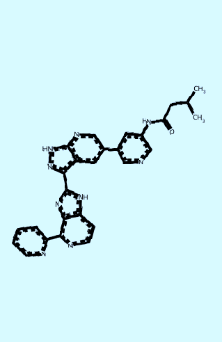 CC(C)CC(=O)Nc1cncc(-c2cnc3[nH]nc(-c4nc5c(-c6ccccn6)nccc5[nH]4)c3c2)c1